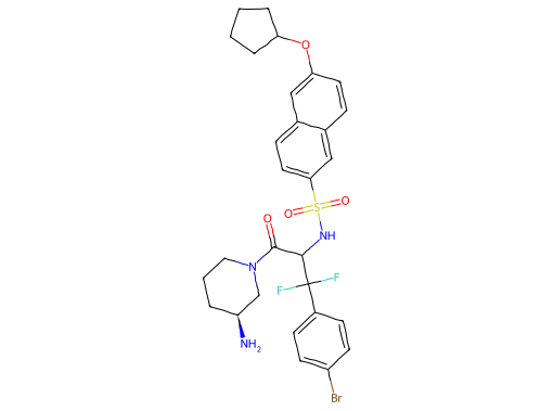 N[C@H]1CCCN(C(=O)C(NS(=O)(=O)c2ccc3cc(OC4CCCC4)ccc3c2)C(F)(F)c2ccc(Br)cc2)C1